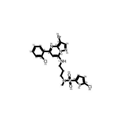 CN(CCCNc1cc(-c2ccccc2Cl)nc2c(Br)cnn12)S(=O)(=O)c1ccc(Cl)s1